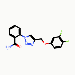 NC(=O)c1ccccc1-n1cc(COc2ccc(F)c(F)c2)nn1